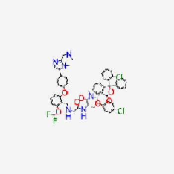 COC[C@H](NC(=O)[C@H](C)NCc1c(Oc2ccc(-c3cnc(CN(C)C)n3C)cc2)cccc1OC(F)F)C(=O)N(C)[C@H](CC(=O)OC(c1ccccc1)(c1ccccc1)c1ccccc1Cl)Cc1ccc(Cl)cc1